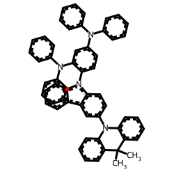 CC1(C)c2ccccc2N(c2ccc3c(c2)c2ccccc2n3-c2ccc(N(c3ccccc3)c3ccccc3)cc2N(c2ccccc2)c2ccccc2)c2ccccc21